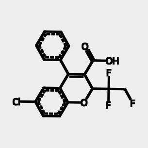 O=C(O)C1=C(c2ccccc2)c2cc(Cl)ccc2OC1C(F)(F)CF